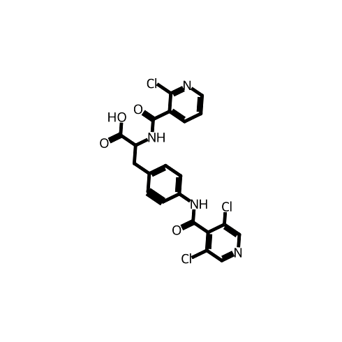 O=C(NC(Cc1c#cc(NC(=O)c2c(Cl)cncc2Cl)cc1)C(=O)O)c1cccnc1Cl